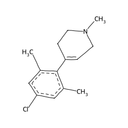 Cc1cc(Cl)cc(C)c1C1=CCN(C)CC1